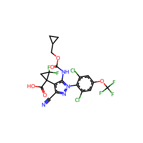 N#Cc1nn(-c2c(Cl)cc(OC(F)(F)F)cc2Cl)c(NC(=O)OCC2CC2)c1C1(C(=O)O)CC1(F)F